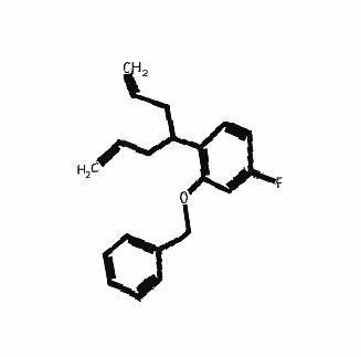 C=CCC(CC=C)c1ccc(F)cc1OCc1ccccc1